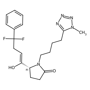 Cn1nnnc1CCCCN1C(=O)CC[C@@H]1C(O)=CCC(F)(F)c1ccccc1